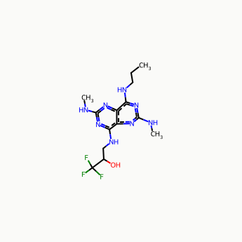 CCCNc1nc(NC)nc2c(NCC(O)C(F)(F)F)nc(NC)nc12